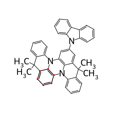 CC1(C)c2ccccc2N(c2cc(-n3c4ccccc4c4ccccc43)cc3c2N(c2ccccc2)c2ccccc2C3(C)C)c2ccccc21